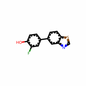 Oc1ccc(-c2ccc3scnc3c2)cc1F